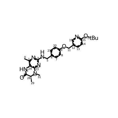 Cc1nc(NCc2ccc(OCc3ccc(OC(C)(C)C)nc3)cc2)nc2c1NC(=O)[C@H](C)N2C